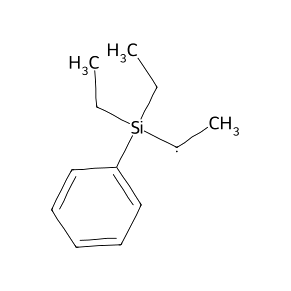 C[CH][Si](CC)(CC)c1ccccc1